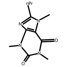 CCCc1nc2c(c(=O)n(C)c(=O)n2C)n1C